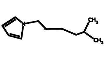 CC(C)CC[CH]Cn1cccc1